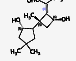 C/C(C=O)=C1\[C@@H](O)C[C@]1(C)C1CC(C)(C)C[C@@H]1O